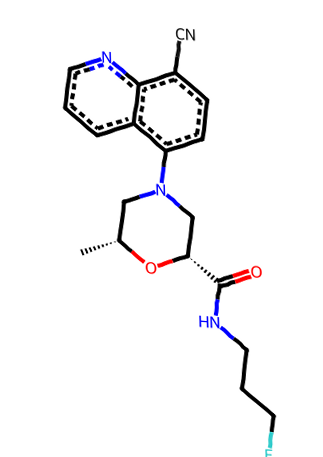 C[C@@H]1CN(c2ccc(C#N)c3ncccc23)C[C@H](C(=O)NCCCF)O1